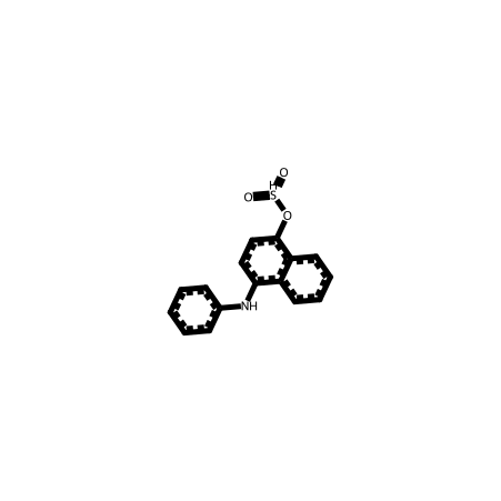 O=[SH](=O)Oc1ccc(Nc2ccccc2)c2ccccc12